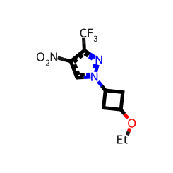 CCOC1CC(n2cc([N+](=O)[O-])c(C(F)(F)F)n2)C1